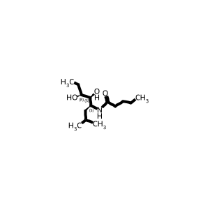 CCCCC(=O)N[C@@H](CC(C)C)[C@H](O)[C@H](O)CC